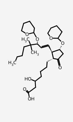 CCCCC(C)(C)[C@@H](/C=C/[C@H]1[C@H](OC2CCCCO2)CC(=O)[C@@H]1CCCCC(O)CC(=O)O)OC1CCCCO1